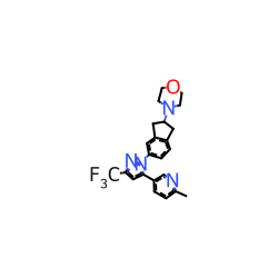 Cc1ccc(-c2cc(C(F)(F)F)nn2-c2ccc3c(c2)C[C@@H](N2CCOCC2)C3)cn1